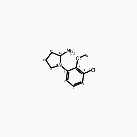 COc1c(Cl)cccc1N1CCCC1N